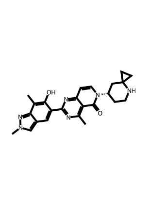 Cc1c(O)c(-c2nc(C)c3c(=O)n([C@H]4CCNC5(CC5)C4)ccc3n2)cc2cn(C)nc12